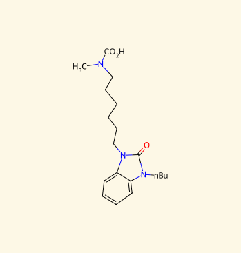 CCCCn1c(=O)n(CCCCCCN(C)C(=O)O)c2ccccc21